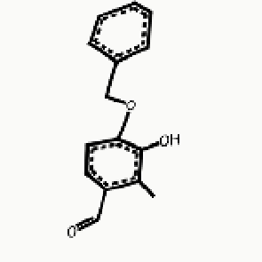 Cc1c(C=O)ccc(OCc2ccccc2)c1O